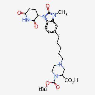 Cn1c(=O)n(C2CCC(=O)NC2=O)c2ccc(CCCCCN3CCN(C(=O)OC(C)(C)C)[C@H](C(=O)O)C3)cc21